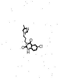 Cc1cn(CCCn2c(=O)[nH]c3ccc(Cl)cc3c2=O)cn1